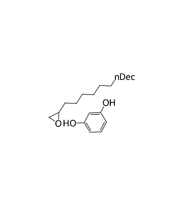 CCCCCCCCCCCCCCCCC1CO1.Oc1cccc(O)c1